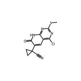 CSc1nc(Cl)c2cc(C3(C#N)CC3)c(=O)[nH]c2n1